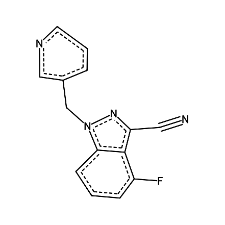 N#Cc1nn(Cc2cccnc2)c2cccc(F)c12